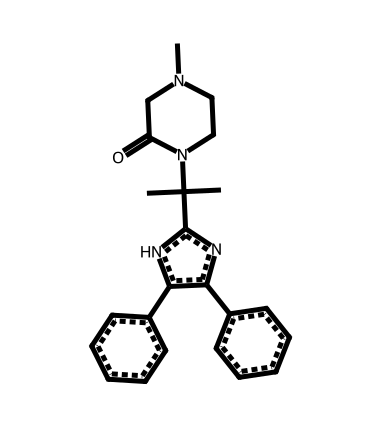 CN1CCN(C(C)(C)c2nc(-c3ccccc3)c(-c3ccccc3)[nH]2)C(=O)C1